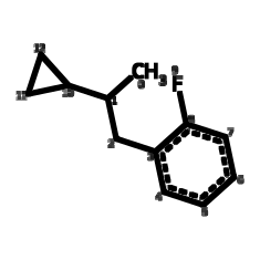 CC(Cc1ccccc1F)C1CC1